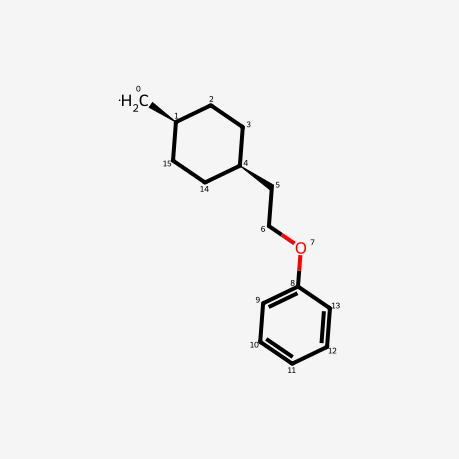 [CH2][C@H]1CC[C@@H](CCOc2ccccc2)CC1